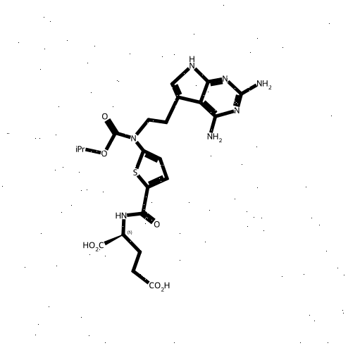 CC(C)OC(=O)N(CCc1c[nH]c2nc(N)nc(N)c12)c1ccc(C(=O)N[C@@H](CCC(=O)O)C(=O)O)s1